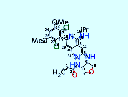 C=CC(=O)N[C@H]1COC[C@H]1Nc1cc2c(NC(C)C)nc(-c3c(Cl)c(OC)cc(OC)c3Cl)cc2cn1